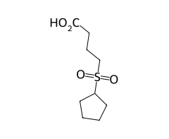 O=C(O)CCCS(=O)(=O)C1CCCC1